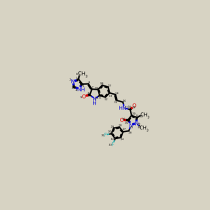 Cc1nc[nH]c1C=C1C(=O)Nc2cc(C=CCNC(=O)c3c(C)n(C)n(Cc4ccc(F)c(F)c4)c3=O)ccc21